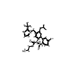 CC(C)Cc1cc(-c2cccc(F)c2)c(N(C(=O)OCCO)[SH](=O)=O)cc1Cn1ccnc1C(C)(C)C